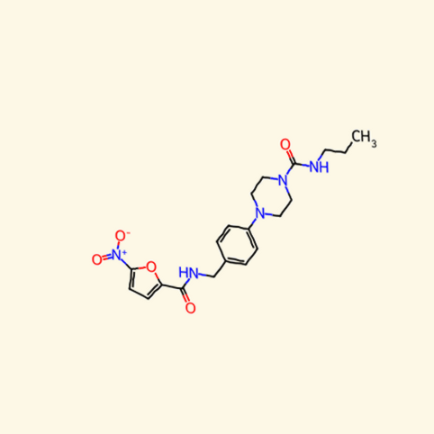 CCCNC(=O)N1CCN(c2ccc(CNC(=O)c3ccc([N+](=O)[O-])o3)cc2)CC1